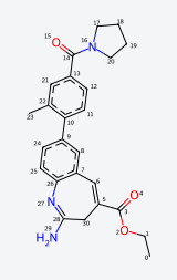 CCOC(=O)C1=Cc2cc(-c3ccc(C(=O)N4CCCC4)cc3C)ccc2N=C(N)C1